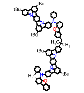 Cc1ccccc1N(c1ccc2c3cc(C(C)(C)C)cc4c5cc6c(cc5n(c2c1)c34)c1cc(C(C)(C)C)cc2c3cc(C(C)(C)Cc4ccc5oc7c(N(c8ccccc8)c8ccc9c%10cc(C(C)(C)C)cc%11c%12cc%13c(cc%12n(c9c8)c%10%11)c8cc(C(C)(C)C)cc9c%10cc(C(C)(C)C)ccc%10n%13c98)cccc7c5c4)ccc3n6c21)c1cccc2c1oc1ccccc12